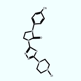 CCN1CCN(c2nnc(N3CCN(c4ccc(C#N)cc4)C3=O)s2)CC1